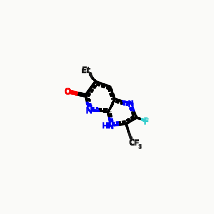 CCc1cc2nc(F)c(C(F)(F)F)[nH]c-2nc1=O